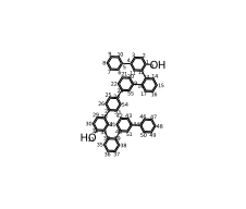 Oc1ccc(-c2ccccc2)cc1-c1ccccc1-c1cccc(-c2ccc(-c3ccc(O)c(-c4ccccc4-c4cccc(-c5ccccc5)c4)c3)cc2)c1